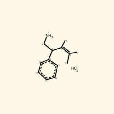 CC(C)=C(C)C(CN)c1ccccc1.Cl